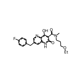 CCOCCCN(C)C(=O)c1c(O)c2ncc(Cc3ccc(F)cc3)cc2[nH]c1=O